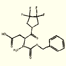 CN(C(=O)OCc1ccccc1)C(CC(=O)O)C(=O)N1CC(F)(F)C(F)(F)C1